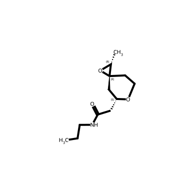 CCCNC(=O)C[C@@H]1C[C@@]2(CCO1)O[C@@H]2C